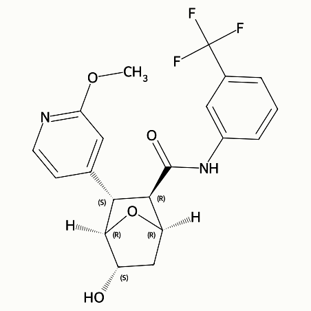 COc1cc([C@H]2[C@H]3O[C@H](C[C@@H]3O)[C@@H]2C(=O)Nc2cccc(C(F)(F)F)c2)ccn1